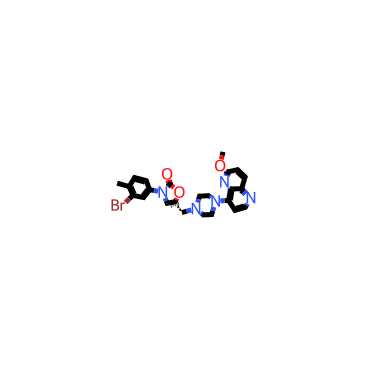 COc1ccc2nccc(N3CCN(C[C@@H]4CN(c5ccc(C)c(Br)c5)C(=O)O4)CC3)c2n1